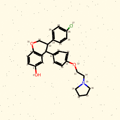 Oc1ccc2c(c1)C(c1ccc(OCCN3CCCC3)cc1)C(c1ccc(Cl)cc1)CO2